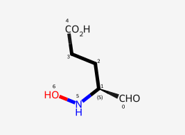 O=C[C@H](CCC(=O)O)NO